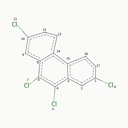 Clc1[c]c2c(Cl)c(Cl)c3cc(Cl)[c]cc3c2cc1